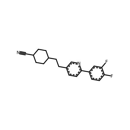 N#CC1CCC(CCc2ccc(-c3ccc(F)c(F)c3)nc2)CC1